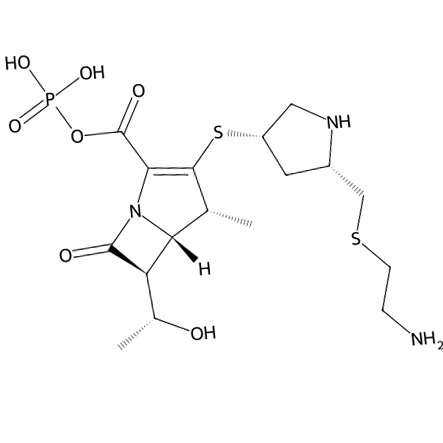 C[C@@H](O)[C@H]1C(=O)N2C(C(=O)OP(=O)(O)O)=C(S[C@@H]3CN[C@H](CSCCN)C3)[C@H](C)[C@H]12